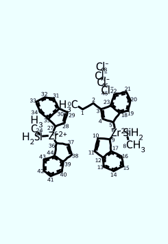 CCCC1=C[CH]([Zr+2]([SiH2]C)[CH]2C=Cc3ccccc32)c2ccccc21.C[SiH2][Zr+2]([CH]1C=Cc2ccccc21)[CH]1C=Cc2ccccc21.[Cl-].[Cl-].[Cl-].[Cl-]